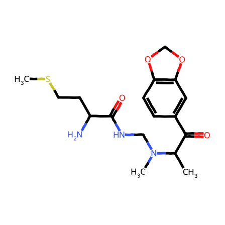 CSCCC(N)C(=O)NCN(C)C(C)C(=O)c1ccc2c(c1)OCO2